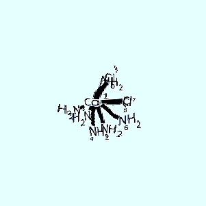 [NH2][Co]([NH2])([NH2])([NH2])([NH2])([NH2])([Cl])([Cl])[Cl]